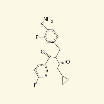 NSc1ccc(CC(C(=O)CC2CC2)C(=O)c2ccc(F)cc2)cc1F